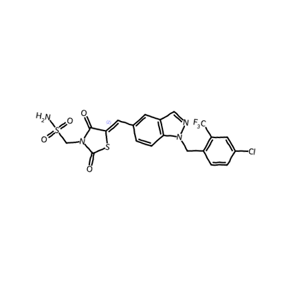 NS(=O)(=O)CN1C(=O)S/C(=C\c2ccc3c(cnn3Cc3ccc(Cl)cc3C(F)(F)F)c2)C1=O